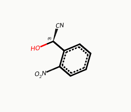 N#C[C@H](O)c1ccccc1[N+](=O)[O-]